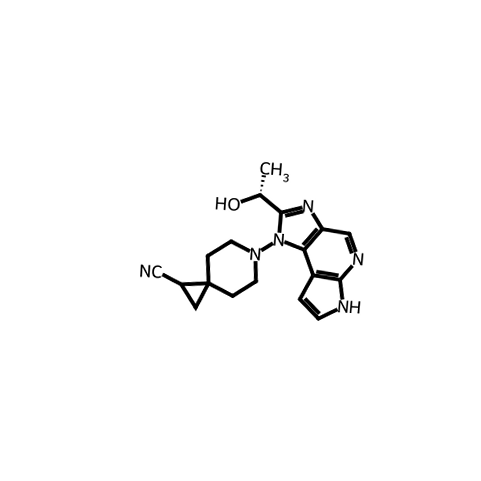 C[C@@H](O)c1nc2cnc3[nH]ccc3c2n1N1CCC2(CC1)CC2C#N